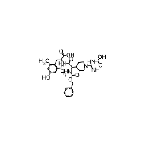 Cc1cc(O)cc(C)c1CC(NC(=O)C(NC(=O)OCc1ccccc1)C1CCN(C(=N)NC(=O)O)CC1)C(=O)O